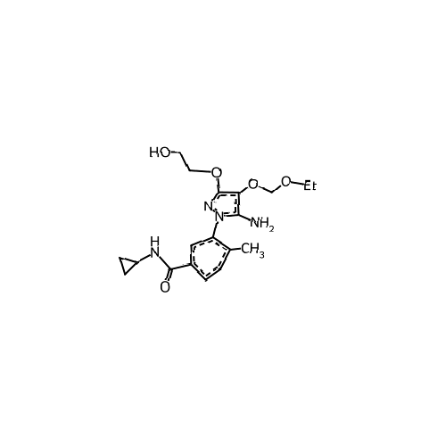 CCOCOc1c(OCCO)nn(-c2cc(C(=O)NC3CC3)ccc2C)c1N